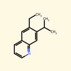 CCc1cc2cccnc2cc1C(C)C